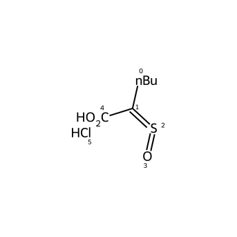 CCCCC(=S=O)C(=O)O.Cl